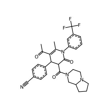 CC(=O)C1=C(C)N(c2cccc(C(F)(F)F)c2)C(=O)C(C(=O)N2CCN3CCCC3C2)C1c1ccc(C#N)cc1